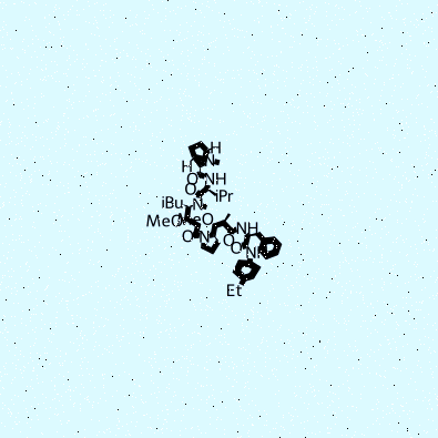 CCc1ccc(NC(=O)[C@H](Cc2ccccc2)NC(=O)[C@H](C)[C@@H](OC)[C@@H]2CCCN2C(=O)C[C@@H](OC)[C@H]([C@@H](C)CC)N(C)C(=O)[C@@H](NC(=O)[C@@H]2[C@H]3CC[C@H](C3)N2C)C(C)C)cc1